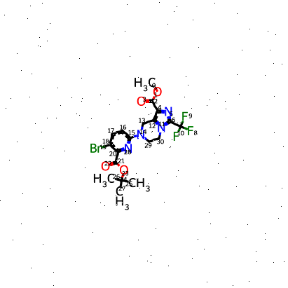 COC(=O)c1nc(C(F)(F)F)n2c1CN(c1ccc(Br)c(C(=O)OC(C)(C)C)n1)CC2